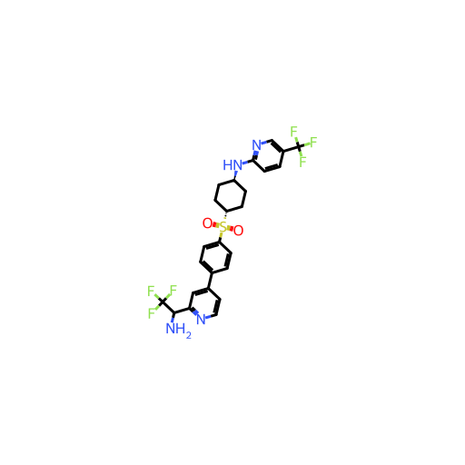 NC(c1cc(-c2ccc(S(=O)(=O)[C@H]3CC[C@H](Nc4ccc(C(F)(F)F)cn4)CC3)cc2)ccn1)C(F)(F)F